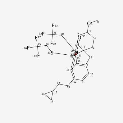 COC1CCC2(CC1)Cc1ccc(CCC3CC3)cc1C21N=C(SCC(F)(F)F)N(CC(F)(F)F)C1=O